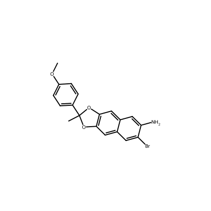 COc1ccc(C2(C)Oc3cc4cc(N)c(Br)cc4cc3O2)cc1